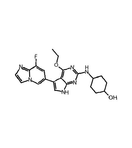 CCOc1nc(NC2CCC(O)CC2)nc2[nH]cc(-c3cc(F)c4nccn4c3)c12